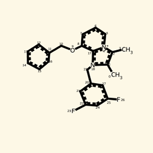 Cc1c(C)[n+]2cccc(OCc3ccccc3)c2n1Cc1cc(F)cc(F)c1